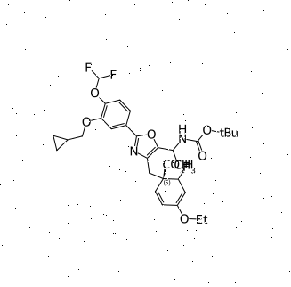 CCOC1=CC(F)[C@](Cc2nc(-c3ccc(OC(F)F)c(OCC4CC4)c3)oc2C(C)NC(=O)OC(C)(C)C)(C(=O)O)C=C1